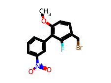 COc1ccc(CBr)c(F)c1-c1cccc([N+](=O)[O-])c1